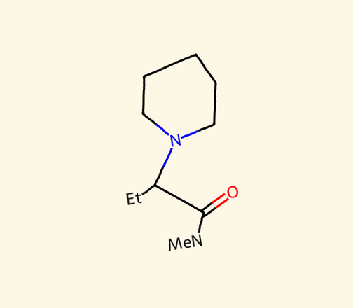 CCC(C(=O)NC)N1CCCCC1